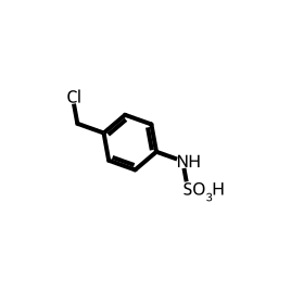 O=S(=O)(O)Nc1ccc(CCl)cc1